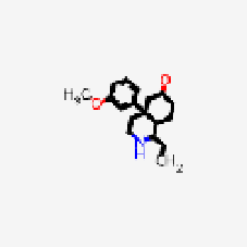 C=CC1NCCC2(c3cccc(OC)c3)CC(=O)CCC12